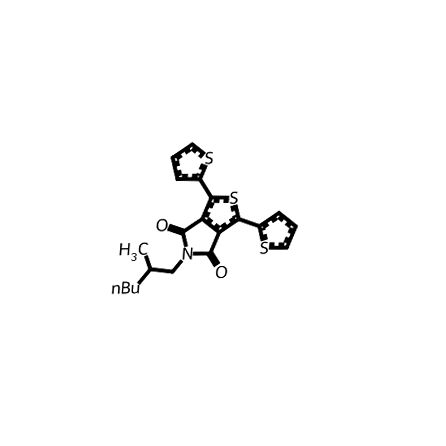 CCCCC(C)CN1C(=O)c2c(-c3cccs3)sc(-c3cccs3)c2C1=O